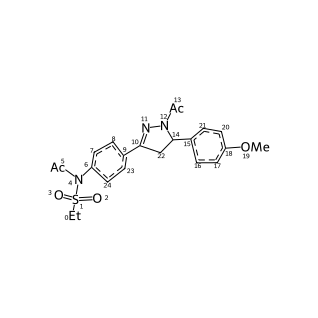 CCS(=O)(=O)N(C(C)=O)c1ccc(C2=NN(C(C)=O)C(c3ccc(OC)cc3)C2)cc1